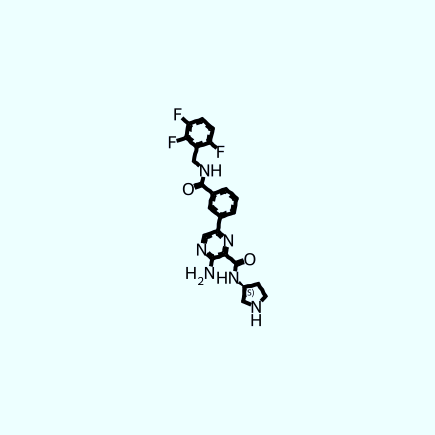 Nc1ncc(-c2cccc(C(=O)NCc3c(F)ccc(F)c3F)c2)nc1C(=O)N[C@H]1CCNC1